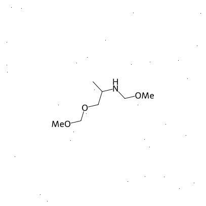 COCNC(C)COCOC